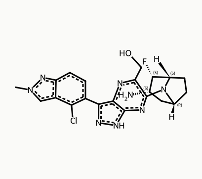 Cn1cc2c(Cl)c(-c3n[nH]c4nc(N5[C@@H]6CC[C@H]5[C@@H](F)[C@@H](N)C6)c(CO)nc34)ccc2n1